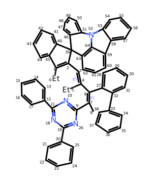 CCC1=C(/C=C(CC)/C(=C(/C)c2nc(-c3ccccc3)nc(-c3ccccc3)n2)c2ccccc2-c2ccccc2)C2(c3ccccc31)c1ccccc1-n1c3ccccc3c3cccc2c31